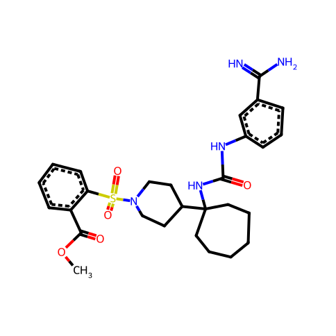 COC(=O)c1ccccc1S(=O)(=O)N1CCC(C2(NC(=O)Nc3cccc(C(=N)N)c3)CCCCCC2)CC1